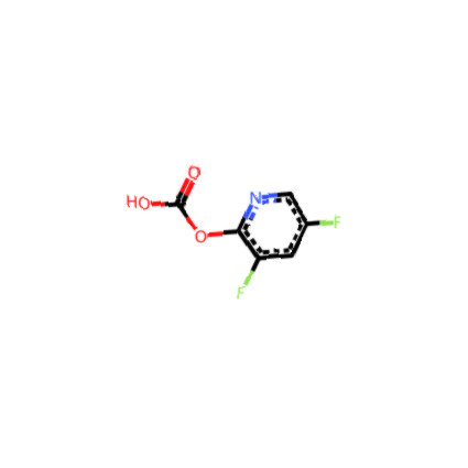 O=C(O)Oc1ncc(F)cc1F